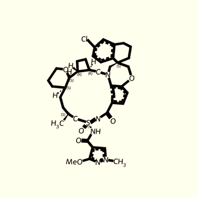 COc1nn(C)cc1C(=O)N[S@@]1(=O)=NC(=O)c2ccc3c(c2)N(C[C@@H]2CC[C@H]2[C@H]2OCCC[C@@H]2CC[C@H](C)C1)C[C@@]1(CCCc2cc(Cl)ccc21)CO3